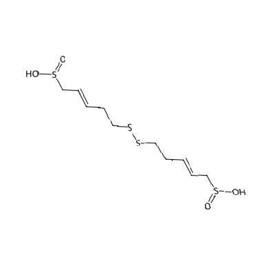 O=S(O)CC=CCCSSCCC=CCS(=O)O